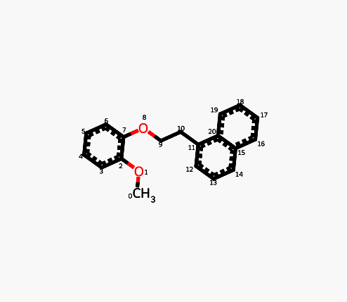 COc1cc[c]cc1OCCc1cccc2ccccc12